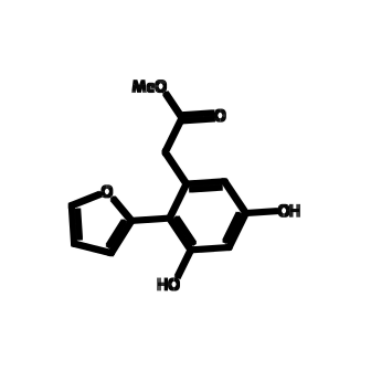 COC(=O)Cc1cc(O)cc(O)c1-c1ccco1